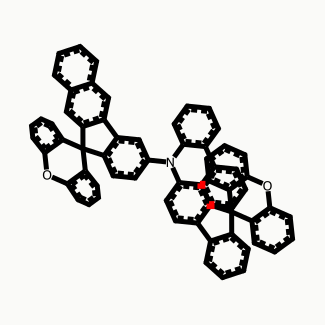 c1ccc(-c2ccccc2N(c2ccc3c(c2)-c2cc4ccccc4cc2C32c3ccccc3Oc3ccccc32)c2ccc3c(c2)C2(c4ccccc4Oc4ccccc42)c2ccccc2-3)cc1